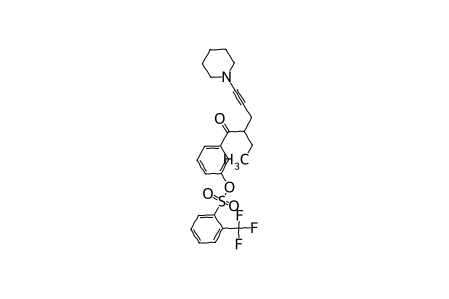 CCC(CC#CN1CCCCC1)C(=O)c1cccc(OS(=O)(=O)c2ccccc2C(F)(F)F)c1